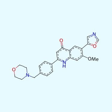 COc1cc2[nH]c(-c3ccc(CN4CCOCC4)cc3)cc(=O)c2cc1-c1cnco1